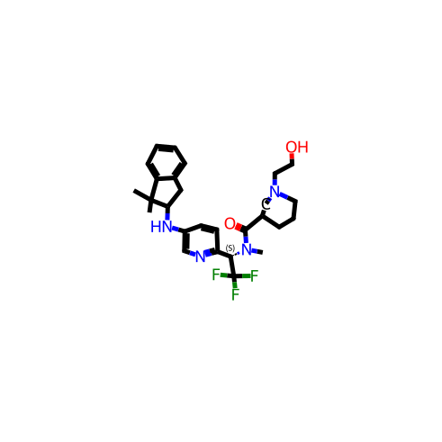 CN(C(=O)C1CCCN(CCO)C1)[C@@H](c1ccc(NC2Cc3ccccc3C2(C)C)cn1)C(F)(F)F